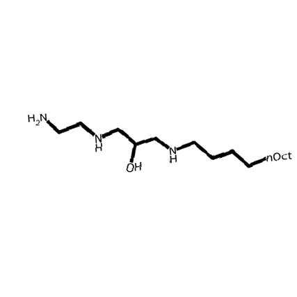 CCCCCCCCCCCCNCC(O)CNCCN